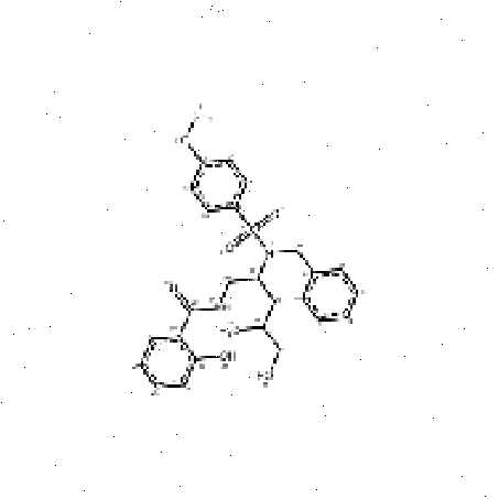 COc1ccc(S(=O)(=O)N(Cc2ccccc2)C(CNC(=O)c2ccccc2O)CC(C)CO)cc1